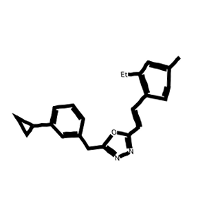 CCc1cc(C)ccc1/C=C/c1nnc(Cc2cccc(C3CC3)c2)o1